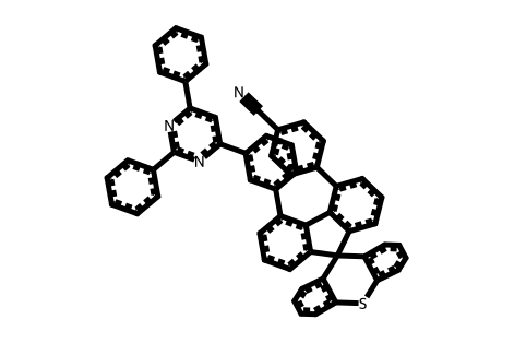 N#Cc1ccc(-c2cccc3c2-c2c(-c4cccc(-c5cc(-c6ccccc6)nc(-c6ccccc6)n5)c4)cccc2C32c3ccccc3Sc3ccccc32)cc1